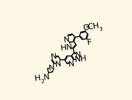 COc1cc(F)cc(-c2ccnc3[nH]c(-c4n[nH]c5ncc(-c6cncc(N7CC(N)C7)n6)cc45)cc23)c1